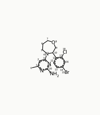 Cc1cc(N2CCCOCC2c2ccc(Br)cc2Cl)nc(N)n1